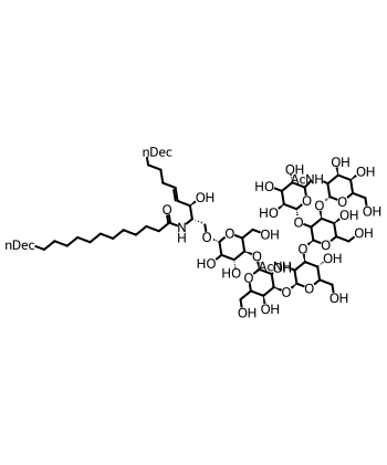 CCCCCCCCCCCCC/C=C/[C@@H](O)[C@H](CO[C@@H]1OC(CO)[C@@H](O[C@@H]2OC(CO)[C@H](O)[C@H](O[C@@H]3OC(CO)[C@@H](O)[C@H](O[C@@H]4OC(CO)[C@H](O)[C@H](O[C@H]5OC(CO)[C@H](O)[C@H](O)C5NC(C)=O)C4O[C@H]4OC(C)[C@@H](O)C(O)[C@@H]4O)C3NC(C)=O)C2O)[C@H](O)C1O)NC(=O)CCCCCCCCCCCCCCCCCCCCC